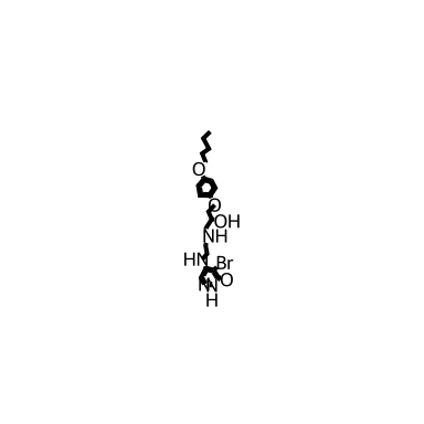 CCCCCOc1ccc(OCC(O)CNCCNc2cn[nH]c(=O)c2Br)cc1